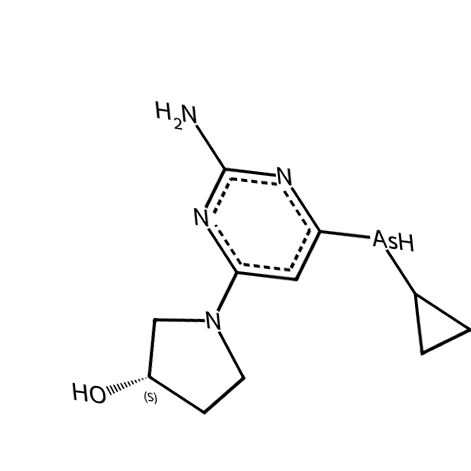 Nc1nc([AsH]C2CC2)cc(N2CC[C@H](O)C2)n1